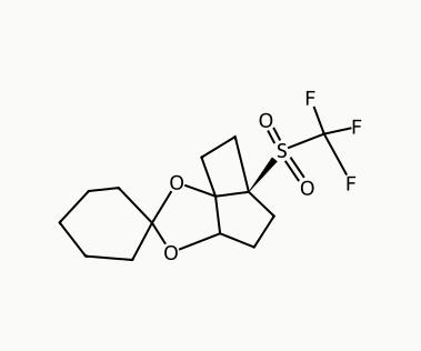 O=S(=O)(C(F)(F)F)[C@@]12CCC3OC4(CCCCC4)OC31CC2